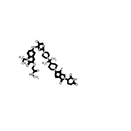 CNC(=O)COc1cc2cc(Nc3nc(N4CCN(C(C)(C)C5CCN(c6ccc7c(c6F)CN(C6CCC(=O)NC6=O)C7=O)CC5)CC4)ncc3Cl)ccc2n(C(C)C)c1=O